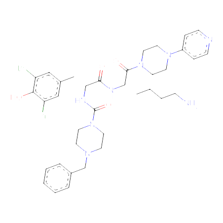 NCCCC[C@H](NC(=O)[C@@H](Cc1cc(Br)c(O)c(Br)c1)NC(=O)N1CCN(Cc2ccccc2)CC1)C(=O)N1CCN(c2ccncc2)CC1